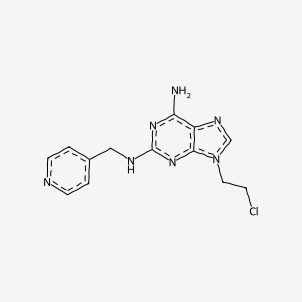 Nc1nc(NCc2ccncc2)nc2c1ncn2CCCl